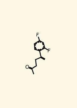 C=C(CCC(C)=O)c1ccc(F)cc1F